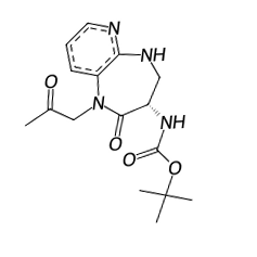 CC(=O)CN1C(=O)[C@@H](NC(=O)OC(C)(C)C)CNc2ncccc21